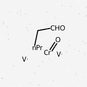 CCCCC=O.[O]=[Cr].[V].[V]